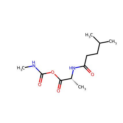 CNC(=O)OC(=O)[C@@H](C)NC(=O)CCC(C)C